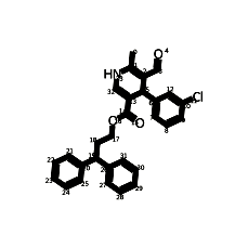 CC1=C(C=O)C(c2cccc(Cl)c2)C(C(=O)OCCC(c2ccccc2)c2ccccc2)=CN1